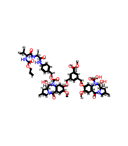 C=CCOC(=O)N[C@H](C(=O)N[C@@H](C)C(=O)Nc1ccc(COC(=O)N2c3cc(OCc4cc(COc5cc6c(cc5OC)C(=O)N5C=C(C)C[C@H]5[C@H](O)N6C(=O)O)cc(C(=O)OC)c4)c(OC)cc3C(=O)N3C=C(C)C[C@H]3[C@@H]2O)cc1)C(C)C